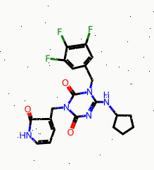 O=c1[nH]cccc1Cn1c(=O)nc(NC2CCCC2)n(Cc2cc(F)c(F)c(F)c2)c1=O